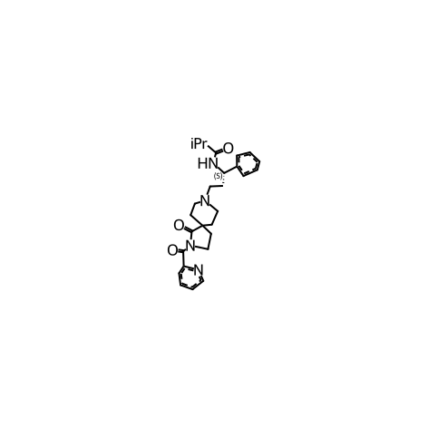 CC(C)C(=O)N[C@@H](CCN1CCC2(CC1)CCN(C(=O)c1ccccn1)C2=O)c1ccccc1